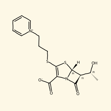 C[C@@H](O)[C@H]1C(=O)N2C(C(=O)[O-])=C(SCCC[n+]3ccccc3)S[C@H]12